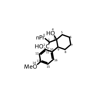 CCCC(C(=O)O)C1(O)CCCCC1c1ccc(OC)cc1